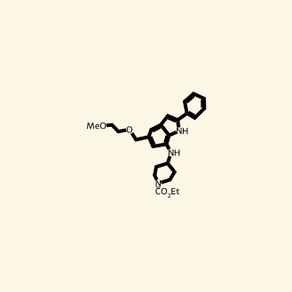 CCOC(=O)N1CCC(Nc2cc(COCCOC)cc3cc(-c4ccccc4)[nH]c23)CC1